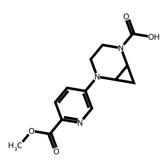 COC(=O)c1ccc(N2CCN(C(=O)O)C3CC32)cn1